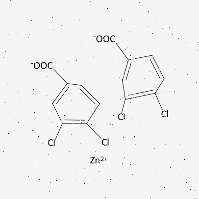 O=C([O-])c1ccc(Cl)c(Cl)c1.O=C([O-])c1ccc(Cl)c(Cl)c1.[Zn+2]